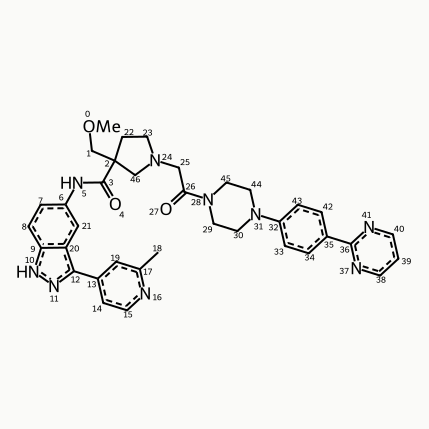 COCC1(C(=O)Nc2ccc3[nH]nc(-c4ccnc(C)c4)c3c2)CCN(CC(=O)N2CCN(c3ccc(-c4ncccn4)cc3)CC2)C1